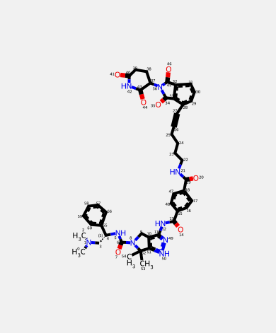 CN(C)C[C@@H](NC(=O)N1Cc2c(NC(=O)c3ccc(C(=O)NCCCCC#Cc4cccc5c4C(=O)N(C4CCC(=O)NC4=O)C5=O)cc3)n[nH]c2C1(C)C)c1ccccc1